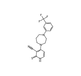 N#Cc1c(N2CCCN(c3cccc(C(F)(F)F)c3)CC2)cc[nH]c1=S